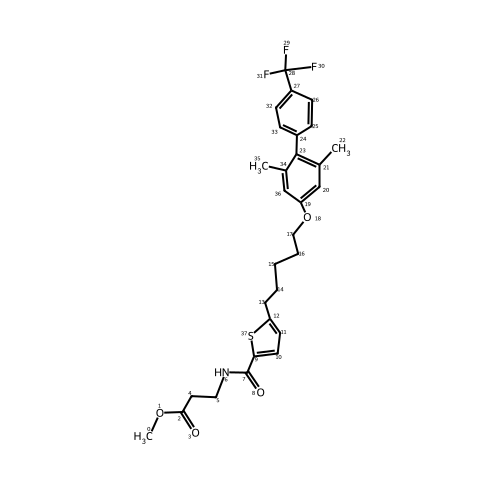 COC(=O)CCNC(=O)c1ccc(CCCCCOc2cc(C)c(-c3ccc(C(F)(F)F)cc3)c(C)c2)s1